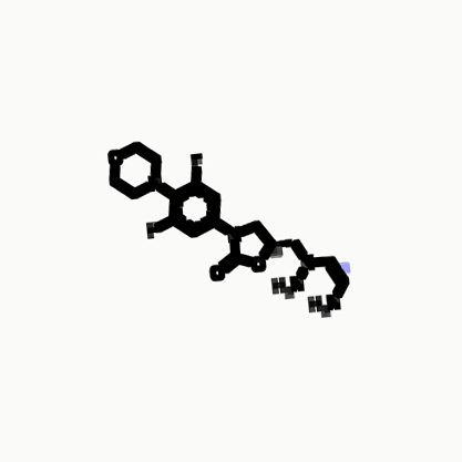 N/C=C\N(N)C[C@H]1CN(c2cc(F)c(N3CCOCC3)c(F)c2)C(=O)O1